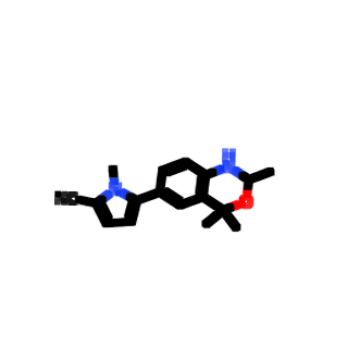 CC1Nc2ccc(-c3ccc(C#N)n3C)cc2C(C)(C)O1